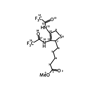 COC(=O)CCCCC1SCC(NC(=O)C(F)(F)F)=C1NC(=O)C(F)(F)F